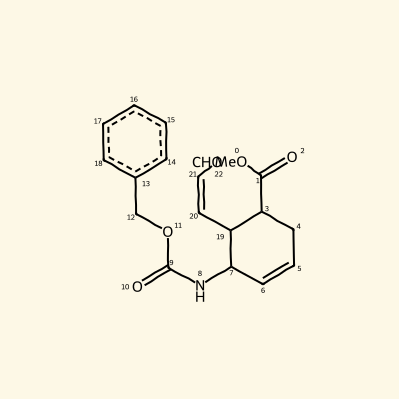 COC(=O)C1CC=CC(NC(=O)OCc2ccccc2)C1C=CC=O